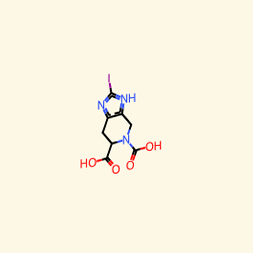 O=C(O)C1Cc2nc(I)[nH]c2CN1C(=O)O